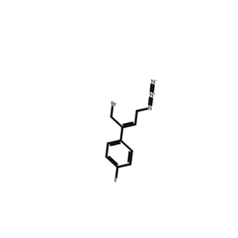 [N-]=[N+]=NC/C=C(\CBr)c1ccc(F)cc1